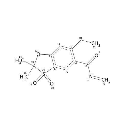 C=NC(=O)c1cc2c(cc1CC)OC(C)(C)S2(=O)=O